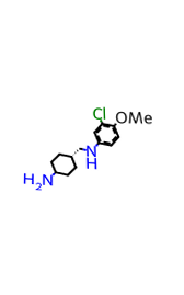 COc1ccc(NC[C@H]2CC[C@H](N)CC2)cc1Cl